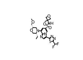 CC[C@@H]1CO[C@H](COC)CN1c1cc(S(=O)(=O)NC2(C)COC2)cn2c(-c3nnc(C(F)F)s3)cnc12